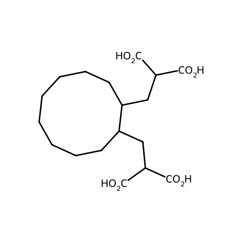 O=C(O)C(CC1CCCCCCCCC1CC(C(=O)O)C(=O)O)C(=O)O